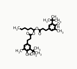 CCCCCC(OC(=O)CCc1cc(C)c(O)c(C(C)(C)C)c1)OC(=O)CCc1cc(C)c(O)c(C(C)(C)C)c1